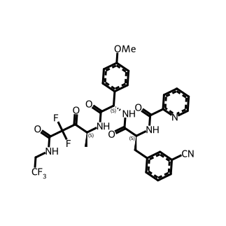 COc1ccc([C@H](NC(=O)[C@H](Cc2cccc(C#N)c2)NC(=O)c2ccccn2)C(=O)N[C@@H](C)C(=O)C(F)(F)C(=O)NCC(F)(F)F)cc1